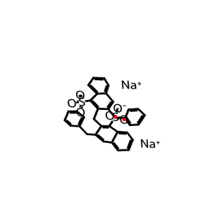 O=S(=O)([O-])c1c(Cc2c(Cc3ccccc3)cc3ccccc3c2S(=O)(=O)[O-])c(Cc2ccccc2)cc2ccccc12.[Na+].[Na+]